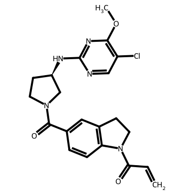 C=CC(=O)N1CCc2cc(C(=O)N3CC[C@@H](Nc4ncc(Cl)c(OC)n4)C3)ccc21